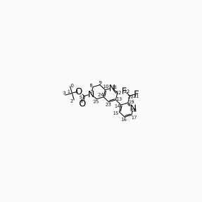 CC(C)(C)OC(=O)N1CCc2ncc(-c3cccnc3C(F)F)cc2C1